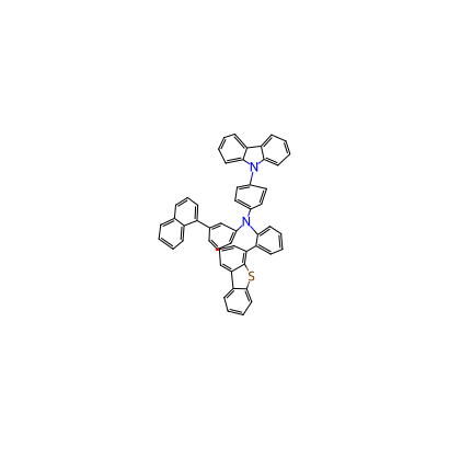 c1cc(-c2cccc3ccccc23)cc(N(c2ccc(-n3c4ccccc4c4ccccc43)cc2)c2ccccc2-c2cccc3c2sc2ccccc23)c1